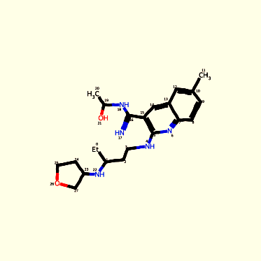 CCC(CCNc1nc2ccc(C)cc2cc1C(=N)NC(C)O)NC1CCOC1